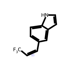 FC(F)(F)/C=C\c1ccc2[nH]ccc2c1